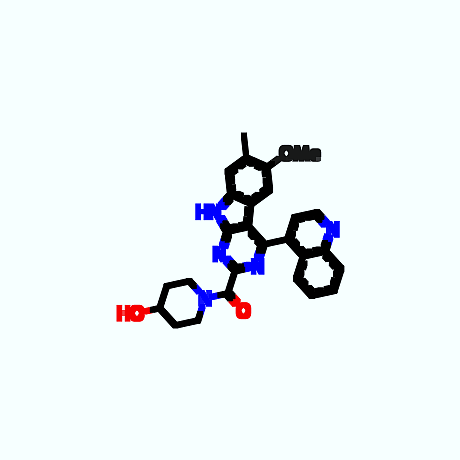 COc1cc2c(cc1C)[nH]c1nc(C(=O)N3CCC(O)CC3)nc(-c3ccnc4ccccc34)c12